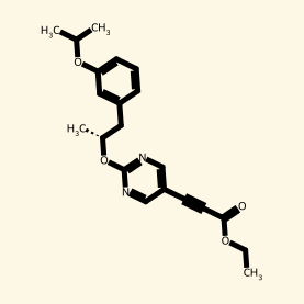 CCOC(=O)C#Cc1cnc(O[C@H](C)Cc2cccc(OC(C)C)c2)nc1